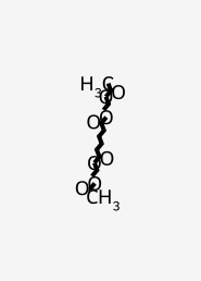 CC(=O)OCCOC(=O)CCCCC(=O)OCCOC(C)=O